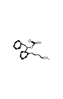 CCCCCc1ccccc1C(Cc1ccccc1)OC(=O)O